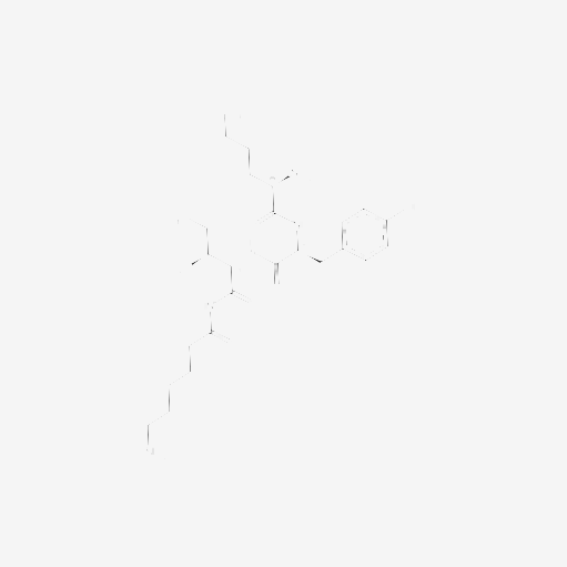 CCCC[C@@H](N)C(=O)N[C@@H](Cc1ccc(O)cc1)C(=O)N[C@H](C(=O)NC(=O)CCCCCN)[C@@H](C)CC